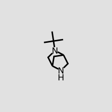 CC(C)(C)N1CC2CC1CN2